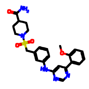 COc1ccccc1-c1cc(Nc2cccc(CS(=O)(=O)N3CCC(C(N)=O)CC3)c2)ncn1